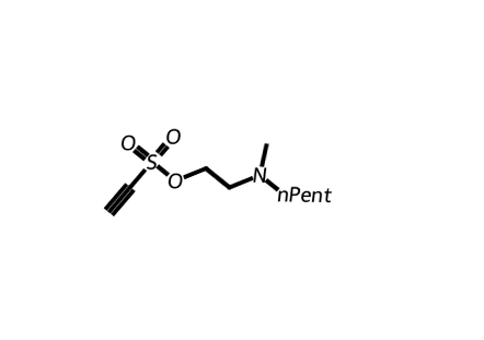 C#CS(=O)(=O)OCCN(C)CCCCC